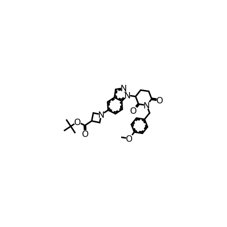 COc1ccc(CN2C(=O)CCC(n3ncc4cc(N5CC(C(=O)OC(C)(C)C)C5)ccc43)C2=O)cc1